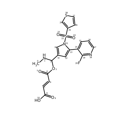 CNC(OC(=O)/C=C/C(=O)O)c1cc(-c2cccnc2F)n(S(=O)(=O)c2ccsc2)c1